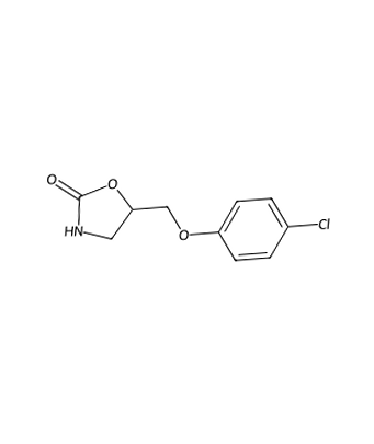 O=C1NCC(COc2ccc(Cl)cc2)O1